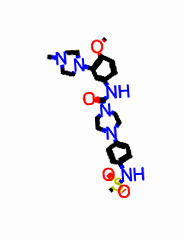 COc1ccc(NC(=O)N2CCN(c3ccc(NS(C)(=O)=O)cc3)CC2)cc1N1CCN(C)CC1